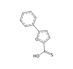 OC(=S)c1ccc(-c2ccccc2)o1